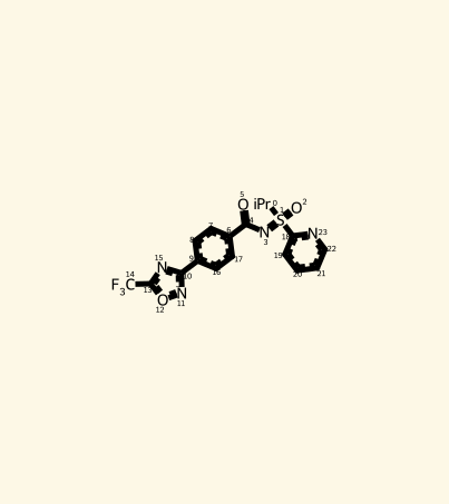 CC(C)S(=O)(=NC(=O)c1ccc(-c2noc(C(F)(F)F)n2)cc1)c1ccccn1